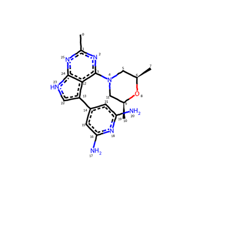 Cc1nc(N2C[C@@H](C)O[C@@H](C)C2)c2c(-c3cc(N)nc(N)c3)c[nH]c2n1